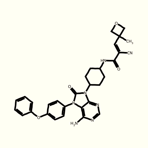 CC1(C=C(C#N)C(=O)NC2CCC(n3c(=O)n(-c4ccc(Oc5ccccc5)cc4)c4c(N)ncnc43)CC2)COC1